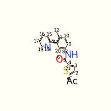 CC(=O)c1ccc(C(=O)Nc2ccc(C)c(-c3ccccn3)c2)s1